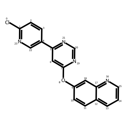 Clc1ccc(-c2cc(Oc3ccc4cccnc4c3)ncn2)cn1